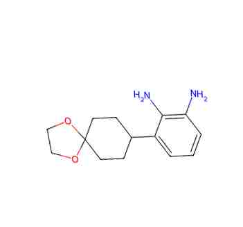 Nc1cccc(C2CCC3(CC2)OCCO3)c1N